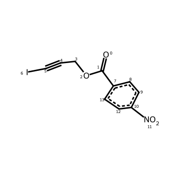 O=C(OCC#CI)c1ccc([N+](=O)[O-])cc1